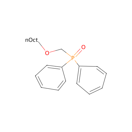 CCCCCCCCOCP(=O)(c1ccccc1)c1ccccc1